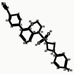 N#Cc1ccc(-c2cncc3c2OCCN3S(=O)(=O)C2CN(c3ccc(F)cc3)C2)cc1